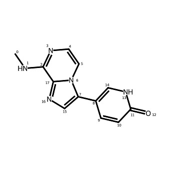 CNc1nccn2c(-c3ccc(=O)[nH]c3)cnc12